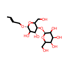 C/C=C/CO[C@@H]1OC(CO)[C@@H](O[C@@H]2OC(CO)[C@H](O)[C@H](O)C2O)[C@H](O)C1O